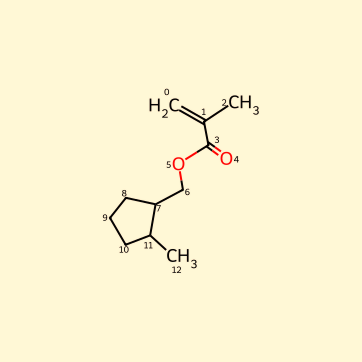 C=C(C)C(=O)OCC1CCCC1C